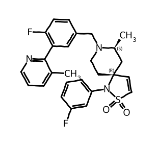 Cc1cccnc1-c1cc(CN2CC[C@]3(C=CS(=O)(=O)N3c3cccc(F)c3)C[C@@H]2C)ccc1F